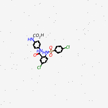 O=C(O)Nc1ccc(NC(=O)c2cc(Cl)ccc2NS(=O)(=O)c2ccc(Cl)cc2)cc1